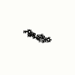 CN[C@H](C(=O)NC(C(=O)N(C)C/C=C(\C)C(=O)NS(=O)(=O)c1cccc(C#N)c1)C(C)(C)C)C(C)(C)c1ccccc1